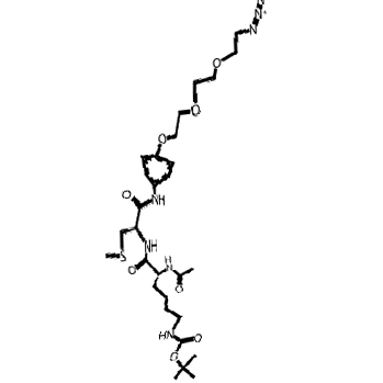 CSC[C@H](NC(=O)[C@H](CCCCNC(=O)OC(C)(C)C)NC(C)=O)C(=O)Nc1ccc(OCCOCCOCCN=[N+]=[N-])cc1